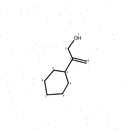 C=C(CO)C1CCCCC1